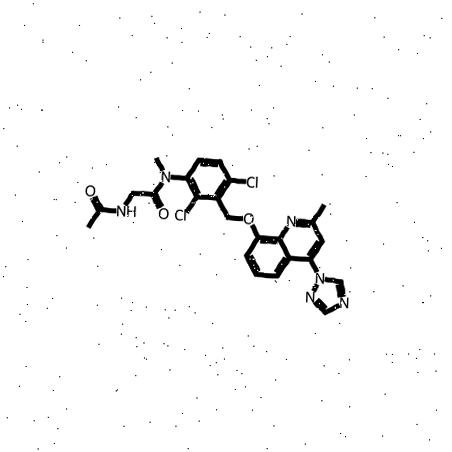 CC(=O)NCC(=O)N(C)c1ccc(Cl)c(COc2cccc3c(-n4cncn4)cc(C)nc23)c1Cl